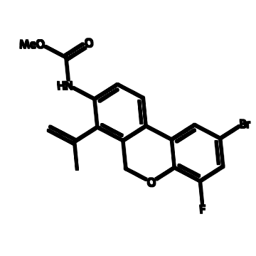 C=C(C)c1c(NC(=O)OC)ccc2c1COc1c(F)cc(Br)cc1-2